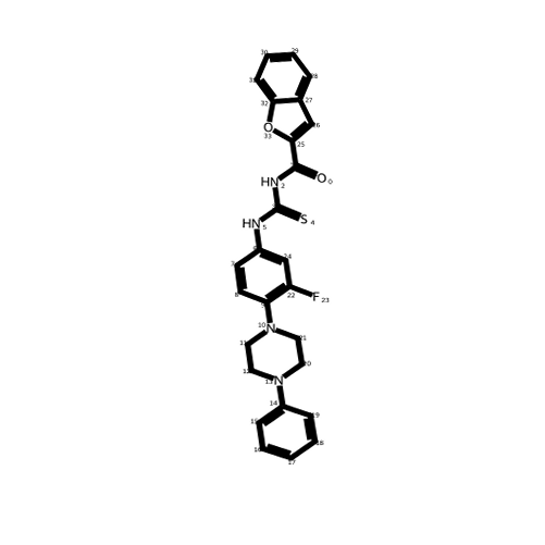 O=C(NC(=S)Nc1ccc(N2CCN(c3ccccc3)CC2)c(F)c1)c1cc2ccccc2o1